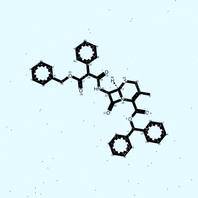 CC1=C(C(=O)OC(c2ccccc2)c2ccccc2)N2C(=O)C(NC(=O)C(C(=O)OCc3ccccc3)c3ccccc3)[C@H]2SC1